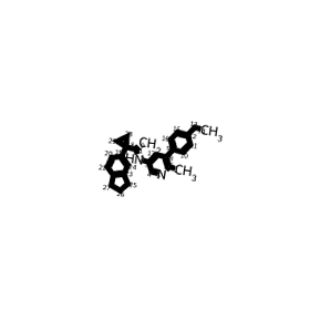 C=C(Nc1cnc(C)c(-c2ccc(CC)cc2)c1)C1(c2ccc3c(c2)CCC3)CC1